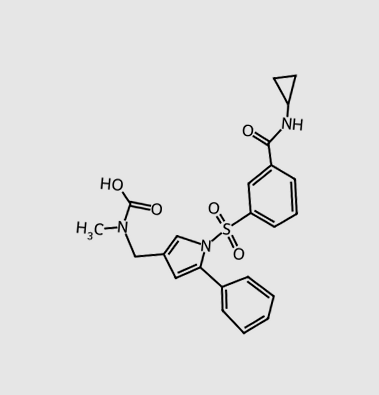 CN(Cc1cc(-c2ccccc2)n(S(=O)(=O)c2cccc(C(=O)NC3CC3)c2)c1)C(=O)O